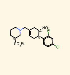 CCOC(=O)[C@H]1CCCN(CC2=CC[C@H](c3ccc(Cl)cc3Cl)[C@@H]([N+](=O)[O-])C2)C1